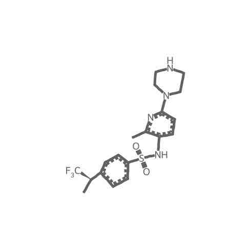 Cc1nc(N2CCNCC2)ccc1NS(=O)(=O)c1ccc([C@@H](C)C(F)(F)F)cc1